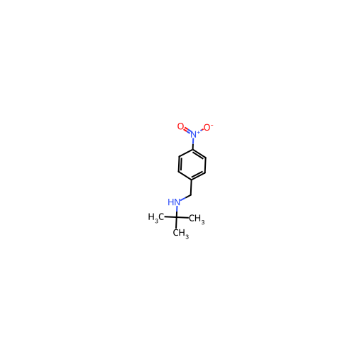 CC(C)(C)NCc1ccc([N+](=O)[O-])cc1